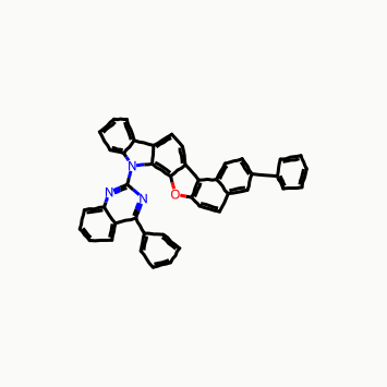 c1ccc(-c2ccc3c(ccc4oc5c(ccc6c7ccccc7n(-c7nc(-c8ccccc8)c8ccccc8n7)c65)c43)c2)cc1